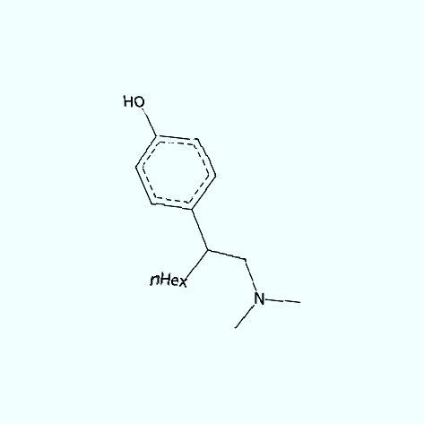 CCCCCCC(CN(C)C)c1ccc(O)cc1